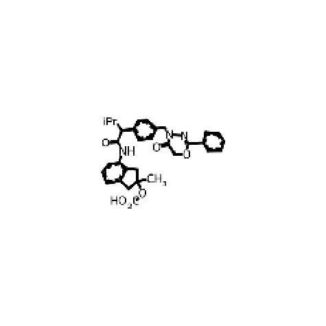 CC(C)C(C(=O)Nc1cccc2c1CC(C)(OC(=O)O)C2)c1ccc(CN2N=C(c3ccccc3)OCC2=O)cc1